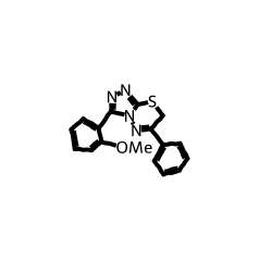 COc1ccccc1-c1nnc2n1N=C(c1ccccc1)CS2